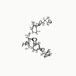 CC(NC(=O)[C@H]1C[C@@H]1c1ccc(OCC2(C)COC2)cc1)c1ccc(OCC(F)(F)F)cn1